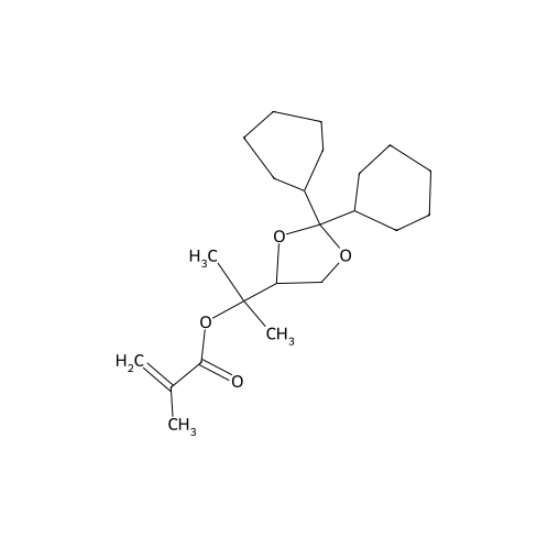 C=C(C)C(=O)OC(C)(C)C1COC(C2CCCCC2)(C2CCCCC2)O1